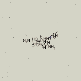 Cc1cc(/C=N/Nc2nc(N)c3ncn([C@@H]4O[C@H](C(=O)CCN)[C@@H](O)[C@H]4O)c3n2)n(C)n1